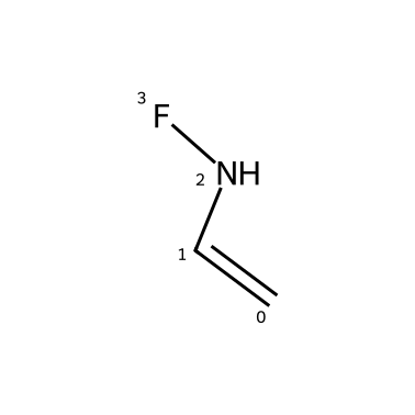 C=CNF